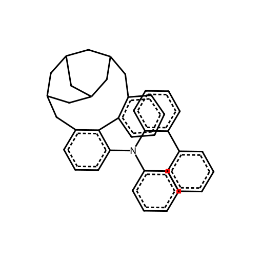 c1ccc(-c2ccccc2N(c2ccccc2)c2cccc3c2-c2ccccc2CC2CC4CC(C3)CC(C2)C4)cc1